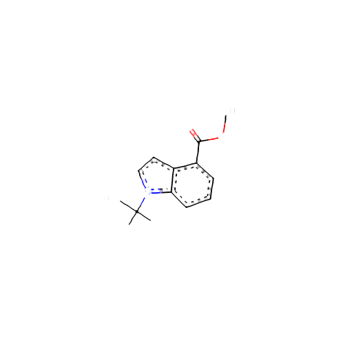 COC(=O)c1cccc2c1ccn2C(C)(C)C